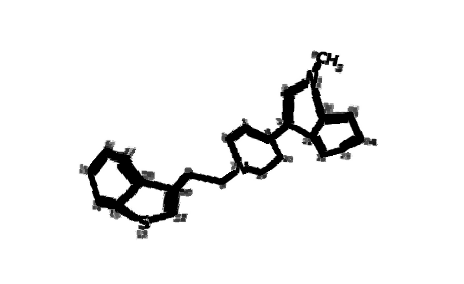 Cn1cc(C2=CCN(CCc3csc4ccccc34)CC2)c2ccccc21